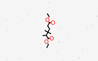 CCOC(=O)CCC(C)(C)C(C)C(=O)OCC